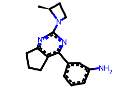 C[C@H]1CCN1c1nc2c(c(-c3cccc(N)c3)n1)CCC2